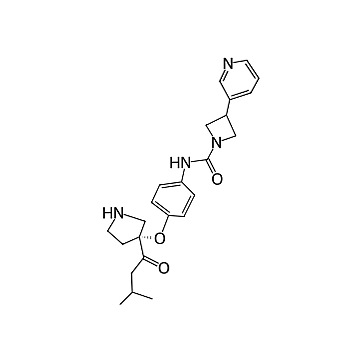 CC(C)CC(=O)[C@@]1(Oc2ccc(NC(=O)N3CC(c4cccnc4)C3)cc2)CCNC1